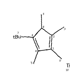 CC1=C(C)C(C)C(C(C)(C)C)=C1C.[Ti]